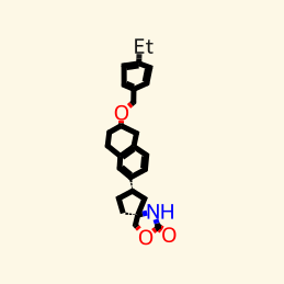 CCc1ccc(COC2CCc3cc([C@H]4CC[C@]5(COC(=O)N5)C4)ccc3C2)cc1